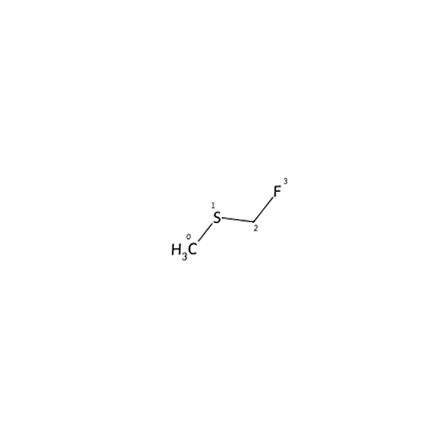 CSCF